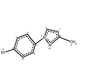 CCc1ccc(-n2cnc(C)n2)cc1